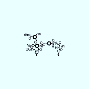 C=CCOC(=O)N[C@H](C(=O)N[C@@H](C)C(=O)Nc1ccc(COC(=O)Nc2cc(OCc3cc(CBr)cc(C(=O)OC(C)(C)C)c3)c(OC)cc2C(=O)N2CC(=C)C[C@H]2CO[Si](C)(C)C(C)(C)C)cc1)C(C)C